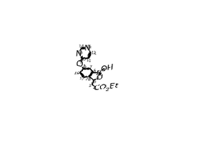 CCOC(=O)CC1OB(O)c2cc(Oc3ccncn3)ccc21